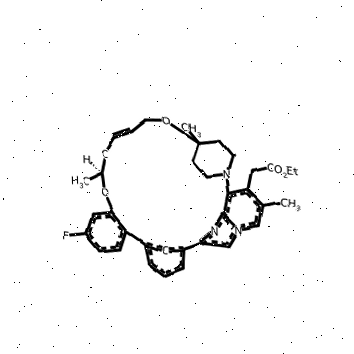 CCOC(=O)Cc1c(C)cn2cc3nc2c1N1CCC(C)(CC1)OC/C=C/C[C@H](C)Oc1cc(F)ccc1-c1cccc-3c1